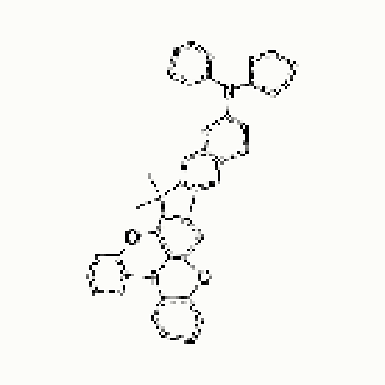 CC1(C)c2cc3cc(N(c4ccccc4)c4ccccc4)ccc3cc2-c2cc3c4c(c21)Oc1ccccc1B4c1ccccc1O3